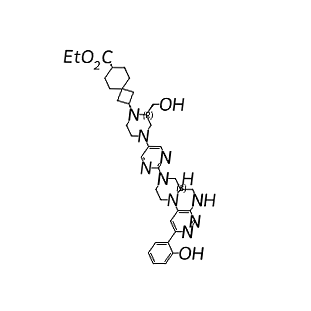 CCOC(=O)[C@H]1CCC2(CC1)C[C@H](N1CCN(c3cnc(N4CCN5c6cc(-c7ccccc7O)nnc6NC[C@H]5C4)nc3)C[C@@H]1CO)C2